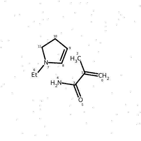 C=C(C)C(N)=O.CCN1C=CCC1